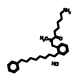 CN(Cc1ccccc1CCCCCCCCc1ccccc1)C(=O)CCCCCN.Cl